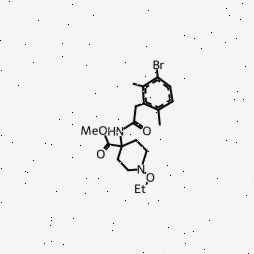 CCON1CCC(NC(=O)Cc2c(C)ccc(Br)c2C)(C(=O)OC)CC1